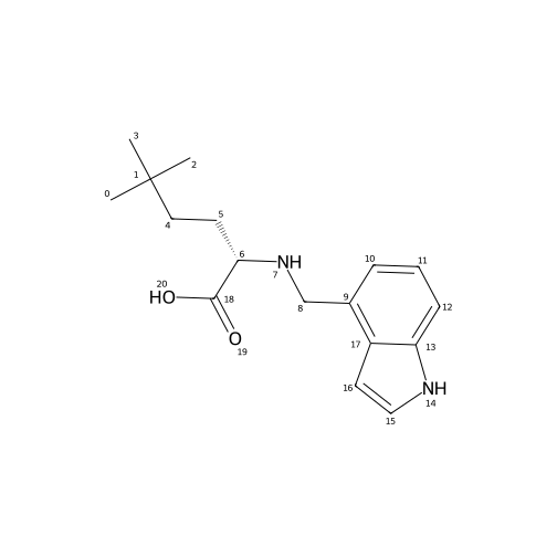 CC(C)(C)CC[C@H](NCc1cccc2[nH]ccc12)C(=O)O